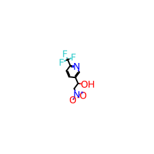 O=[N+]([O-])CC(O)c1ccc(C(F)(F)F)nc1